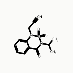 C#CCN1c2ccccc2C(=O)N(C(C)C)S1(=O)=O